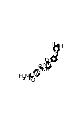 CC(C)(N)C(=O)N1CCN(C(=O)Nc2ccn(-c3ccc(CN4CC[C@H]5C[C@H]5C4)cc3)c(=O)n2)CC1